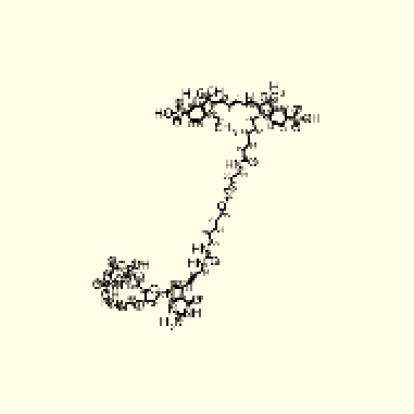 CCN1\C(=C/C=C/C=C/C2=[N+](CCCCCC(=O)NCCSSCOCCCCCNC(=O)NCC#Cc3cn([C@H]4C[C@H](OCN=[N+]=[N-])[C@@H](COP(=O)(O)OP(=O)(O)OP(=O)(O)O)O4)c4nc(N)[nH]c(=O)c34)c3ccc(S(=O)(=O)O)cc3C2(C)C)C(C)(C)c2cc(S(=O)(=O)O)ccc21